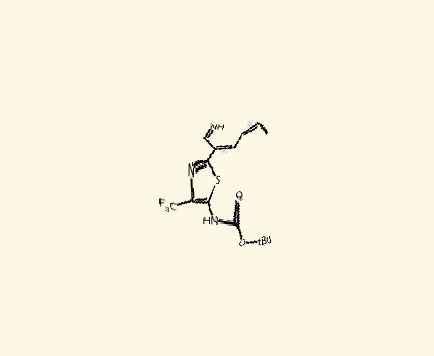 C/C=C\C=C(/C=N)c1nc(C(F)(F)F)c(NC(=O)OC(C)(C)C)s1